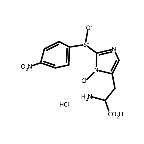 Cl.NC(Cc1cnc([S+]([O-])c2ccc([N+](=O)[O-])cc2)n1Cl)C(=O)O